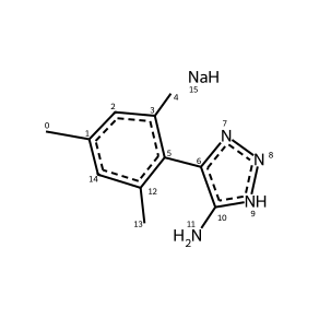 Cc1cc(C)c(-c2nn[nH]c2N)c(C)c1.[NaH]